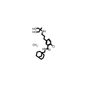 CC(CO)(CO)NCCCc1ccc(Cl)c(C(=O)NCC23CCCC(CCC2)C3)c1.[CH2]